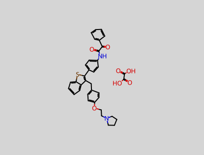 O=C(Nc1ccc(-c2sc3ccccc3c2Cc2ccc(OCCN3CCCC3)cc2)cc1)C(=O)c1ccccc1.O=C(O)C(=O)O